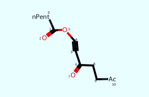 CCCCCC(=O)OC#CC(=O)CCC(C)=O